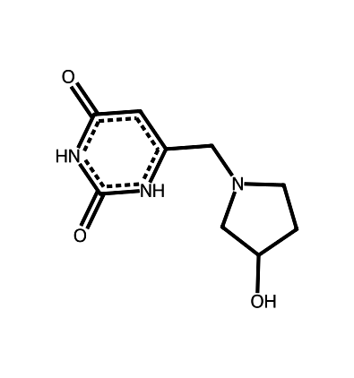 O=c1cc(CN2CCC(O)C2)[nH]c(=O)[nH]1